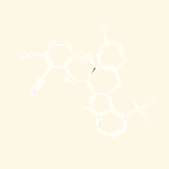 CC[C@H](Nc1ncnc(N)c1C#N)c1nc2cccc(C(F)(F)F)c2n1Cc1ccc(F)cc1